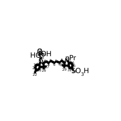 CCCN1/C(=C/C=C/C=C/C=C/C2=[N+](CCP(=O)(O)O)c3ccc(C)cc3C2(C)C)C(C)(C)c2cc(S(=O)(=O)O)ccc21